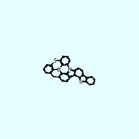 c1cc2c3c(c1)Sc1cccc4c1B3c1c(ccc3c5c6sc7ccccc7c6ccc5n-4c13)C2